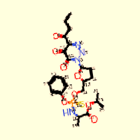 CCCC(=O)C1N=NN(C2CCC(COP(=S)(NC(C)C(=O)OC(C)C)Oc3ccccc3)O2)C(=O)C1=O